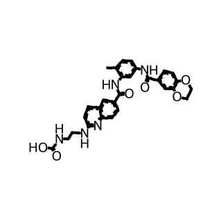 Cc1ccc(NC(=O)c2ccc3c(c2)OCCO3)cc1NC(=O)c1ccc2nc(NCCNC(=O)O)ccc2c1